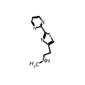 CNCCc1csc(-c2ncccn2)n1